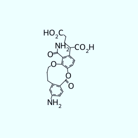 NC(=O)c1c(C(CCC(=O)O)C(=O)O)ccc2c1OCCCc1cc(N)ccc1C(=O)O2